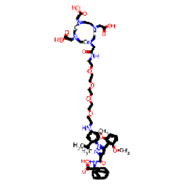 COc1cccc(OC)c1-c1cc(C(=O)NC2(C(=O)O)C3CC4CC(C3)CC2C4)nn1-c1ccc(NCCOCCOCCOCCOCCNC(=O)CN2CCN(CC(=O)O)CCN(CC(=O)O)CCN(CC(=O)O)CC2)cc1C(C)C